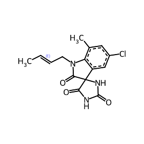 C/C=C/CN1C(=O)C2(NC(=O)NC2=O)c2cc(Cl)cc(C)c21